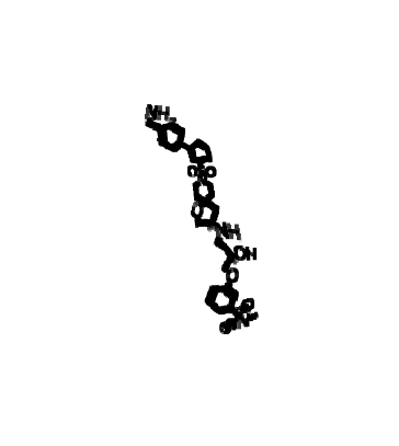 CNS(=O)(=O)c1cccc(OC[C@@H](O)CN[C@H]2COC3(CCN(S(=O)(=O)c4cccc(-c5ccc(CN)cc5)c4)CC3)C2)c1